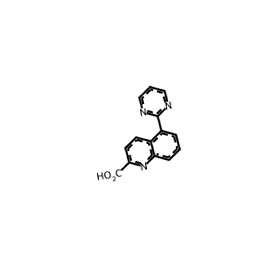 O=C(O)c1ccc2c(-c3ncccn3)cccc2n1